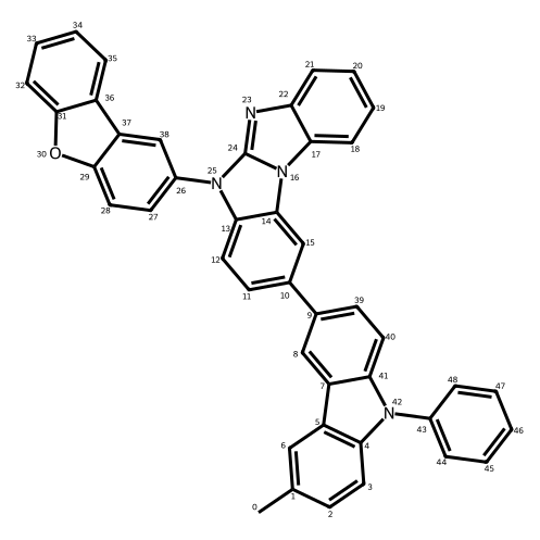 Cc1ccc2c(c1)c1cc(-c3ccc4c(c3)n3c5ccccc5nc3n4-c3ccc4oc5ccccc5c4c3)ccc1n2-c1ccccc1